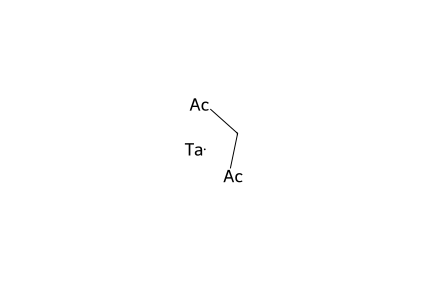 CC(=O)CC(C)=O.[Ta]